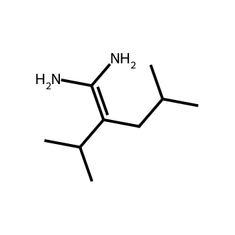 CC(C)CC(=C(N)N)C(C)C